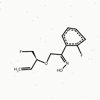 C=C[C@@H](CF)OC/C(=N\O)c1ccccc1F